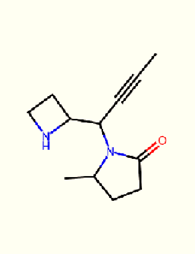 CC#CC(C1CCN1)N1C(=O)CCC1C